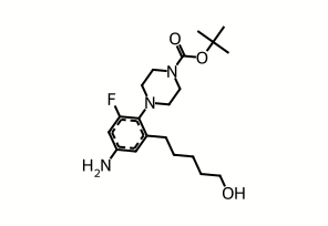 CC(C)(C)OC(=O)N1CCN(c2c(F)cc(N)cc2CCCCCO)CC1